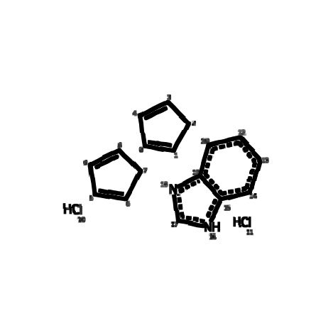 C1=CCC=C1.C1=CCC=C1.Cl.Cl.c1ccc2[nH]cnc2c1